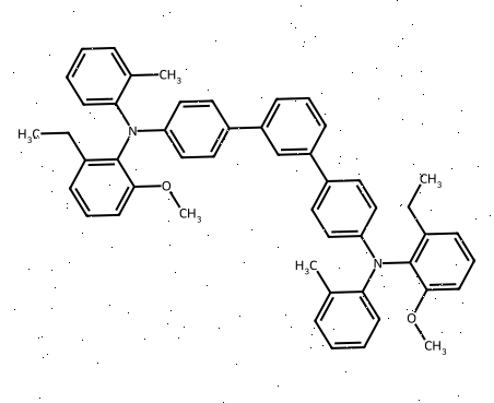 CCc1cccc(OC)c1N(c1ccc(-c2cccc(-c3ccc(N(c4ccccc4C)c4c(CC)cccc4OC)cc3)c2)cc1)c1ccccc1C